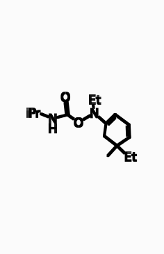 CCN(OC(=O)NC(C)C)C1=CC=CC(C)(CC)C1